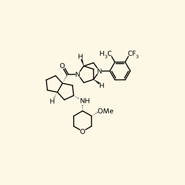 CO[C@@H]1COCC[C@@H]1N[C@@H]1C[C@H]2CCC[C@@]2(C(=O)N2C[C@@H]3C[C@H]2CN3c2cccc(C(F)(F)F)c2C)C1